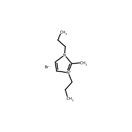 CCCn1cc[n+](CCC)c1C.[Br-]